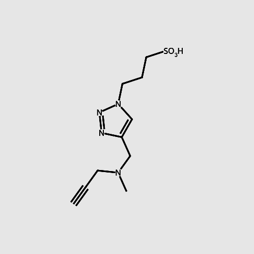 C#CCN(C)Cc1cn(CCCS(=O)(=O)O)nn1